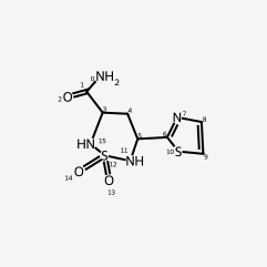 NC(=O)C1CC(c2nccs2)NS(=O)(=O)N1